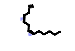 CCCCC/C=C\C/C=C\CS